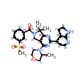 CC1COCCN1c1nc(-c2ccnc3[nH]ccc23)nc2c1CN(C(=O)c1cccc(S(C)(=O)=O)c1)C2(C)C